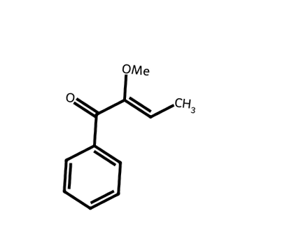 CC=C(OC)C(=O)c1ccccc1